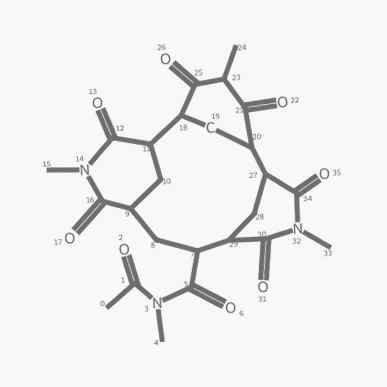 CC(=O)N(C)C(=O)C1CC2CC(C(=O)N(C)C2=O)C2CC(C(=O)C(C)C2=O)C2CC1C(=O)N(C)C2=O